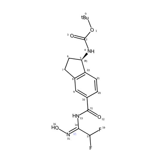 CC(C)(C)OC(=O)N[C@@H]1CCc2cc(C(=O)N/C(=N\O)C(F)F)ccc21